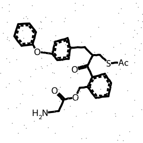 CC(=O)SCC(Cc1ccc(Oc2ccccc2)cc1)C(=O)c1ccccc1COC(=O)CN